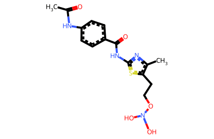 CC(=O)Nc1ccc(C(=O)Nc2nc(C)c(CCON(O)O)s2)cc1